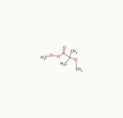 COOC(=O)C(C)(C)OC